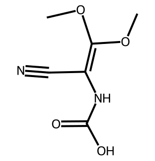 COC(OC)=C(C#N)NC(=O)O